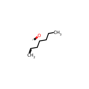 C=CCCCCC.[C]=O